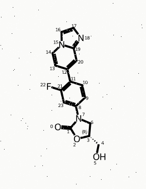 O=C1O[C@@H](CO)CN1c1ccc(-c2ccn3ccnc3c2)c(F)c1